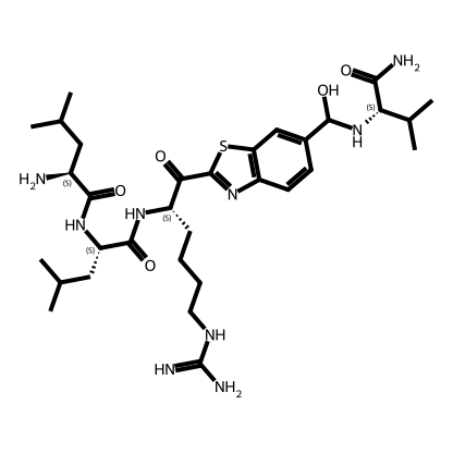 CC(C)C[C@H](NC(=O)[C@@H](N)CC(C)C)C(=O)N[C@@H](CCCCNC(=N)N)C(=O)c1nc2ccc(C(O)N[C@H](C(N)=O)C(C)C)cc2s1